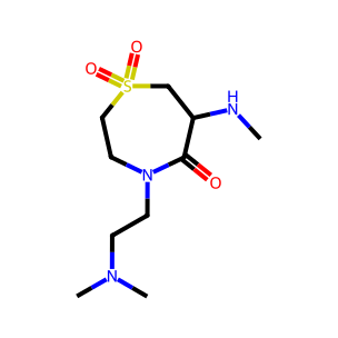 CNC1CS(=O)(=O)CCN(CCN(C)C)C1=O